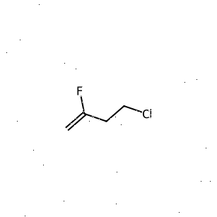 C=C(F)CCCl